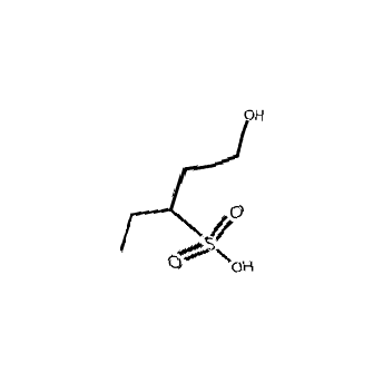 CCC(CCO)S(=O)(=O)O